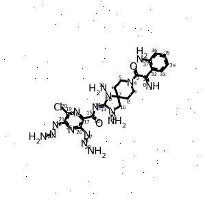 N=C(C(=O)N1CCC2(CC1)CN(N)/C(=N\C(=O)c1nc(Cl)c(N=NN)nc1N=NN)N2N)c1ccccc1N